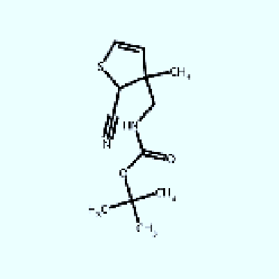 CC(C)(C)OC(=O)NCC1(C)C=CSC1C#N